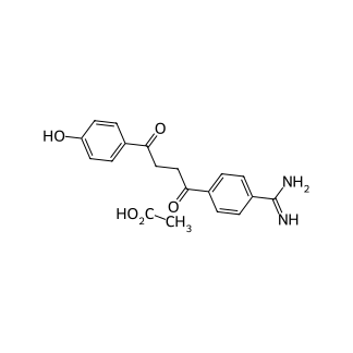 CC(=O)O.N=C(N)c1ccc(C(=O)CCC(=O)c2ccc(O)cc2)cc1